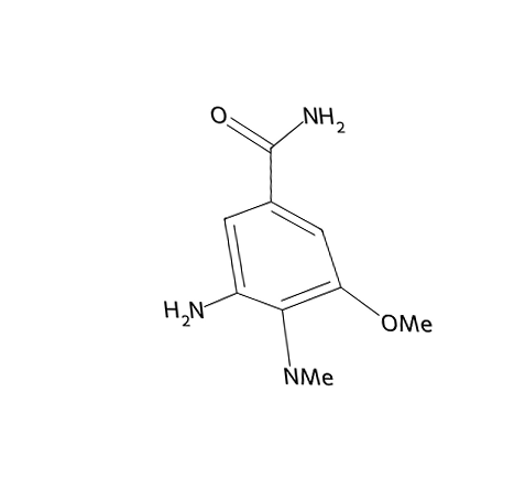 CNc1c(N)cc(C(N)=O)cc1OC